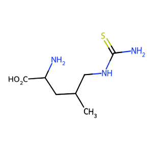 CC(CNC(N)=S)CC(N)C(=O)O